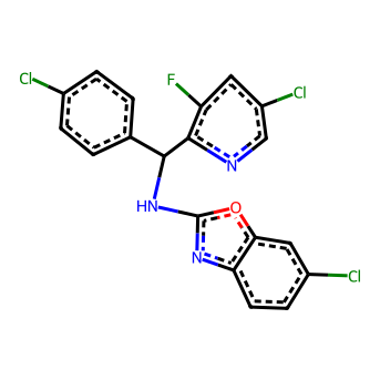 Fc1cc(Cl)cnc1C(Nc1nc2ccc(Cl)cc2o1)c1ccc(Cl)cc1